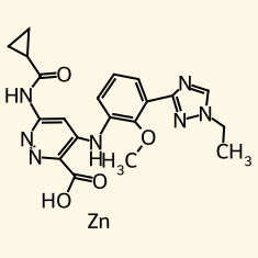 CCn1cnc(-c2cccc(Nc3cc(NC(=O)C4CC4)nnc3C(=O)O)c2OC)n1.[Zn]